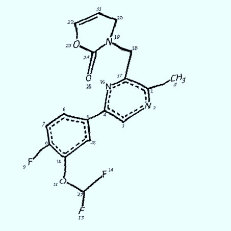 Cc1ncc(-c2ccc(F)c(OC(F)F)c2)nc1CN1CC=COC1=O